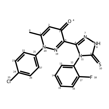 Cc1cc(=O)c(-c2n[nH]c(=S)n2-c2ccccc2F)nn1-c1ccc(Cl)cc1